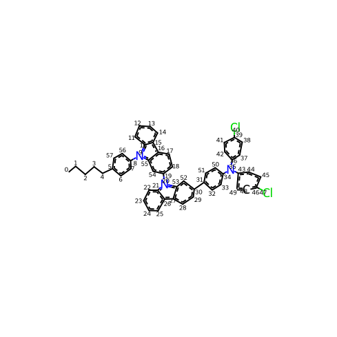 CCCCCc1ccc(-n2c3ccccc3c3ccc(-n4c5ccccc5c5ccc(-c6ccc(N(c7ccc(Cl)cc7)c7ccc(Cl)cc7)cc6)cc54)cc32)cc1